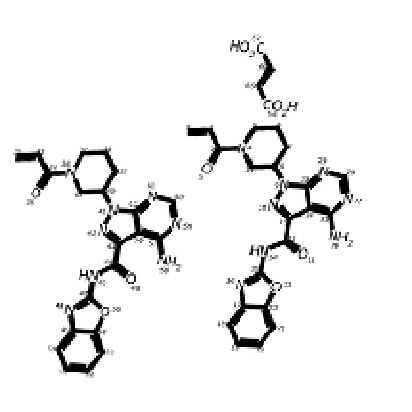 C=CC(=O)N1CCCC(n2nc(C(=O)Nc3nc4ccccc4o3)c3c(N)ncnc32)C1.C=CC(=O)N1CCCC(n2nc(C(=O)Nc3nc4ccccc4o3)c3c(N)ncnc32)C1.O=C(O)/C=C/C(=O)O